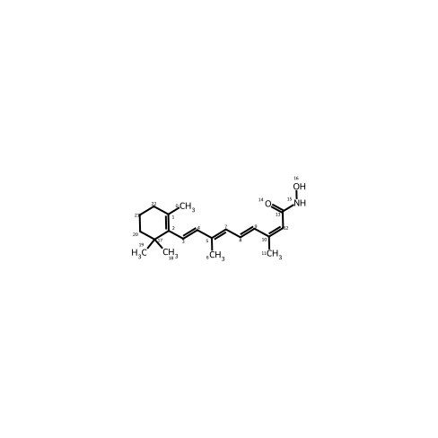 CC1=C(/C=C/C(C)=C/C=C/C(C)=C\C(=O)NO)C(C)(C)CCC1